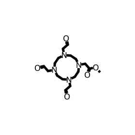 COC(=O)CN1CCN(CC=O)CCN(CC=O)CCN(CC=O)CC1